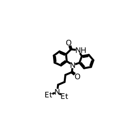 CCN(CC)CCCC(=O)N1c2ccccc2NC(=O)c2ccccc21